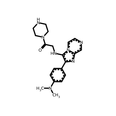 CN(C)c1ccc(-c2nc3cnccn3c2NCC(=O)N2CCNCC2)cc1